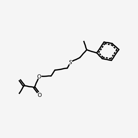 C=C(C)C(=O)OCCCSCC(C)c1ccccc1